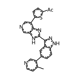 CC(=O)c1ccc(-c2cncc3[nH]c(-c4n[nH]c5ccc(-c6cnccc6C)cc45)nc23)s1